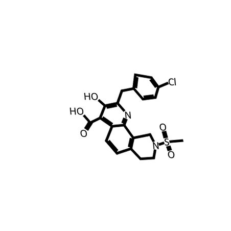 CS(=O)(=O)N1CCc2ccc3c(C(=O)O)c(O)c(Cc4ccc(Cl)cc4)nc3c2C1